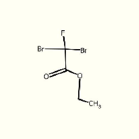 CCOC(=O)C(F)(Br)Br